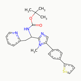 Cn1c(-c2ccc(-c3cccs3)cc2)cnc1C(Cc1ccccn1)NC(=O)OC(C)(C)C